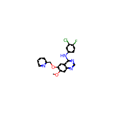 COc1cc2ncnc(Nc3ccc(F)c(Cl)c3)c2cc1OCc1ccccn1